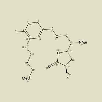 CN[C@@H](COCc1ccc(C)c(OCCCOC)c1)[C@@H]1C[C@@H](C(C)C)C(=O)O1